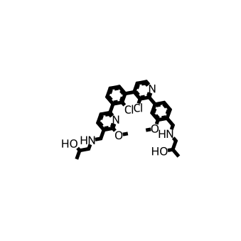 COc1cc(-c2nccc(-c3cccc(-c4ccc(CNCC(C)O)c(OC)n4)c3Cl)c2Cl)ccc1CNCC(C)O